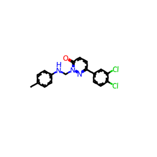 Cc1ccc(NCn2nc(-c3ccc(Cl)c(Cl)c3)ccc2=O)cc1